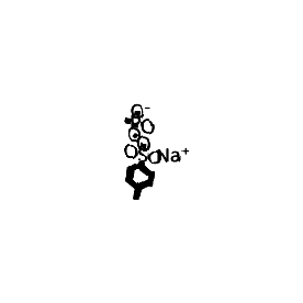 Cc1ccc(S(=O)(=O)OOP(C)(=O)[O-])cc1.[Na+]